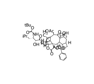 CC(=O)O[C@H]1C(=O)[C@@]2(C)[C@H]([C@H](OC(=O)c3ccccc3)[C@]34CC(=O)O[C@H]3[C@H](OC(=O)[C@H](O)[C@H](CC(C)C)NC(=O)OC(C)(C)C)C(C)=C1C4(C)C)[C@]1(OC(C)=O)OC[C@@H]1C[C@@H]2O